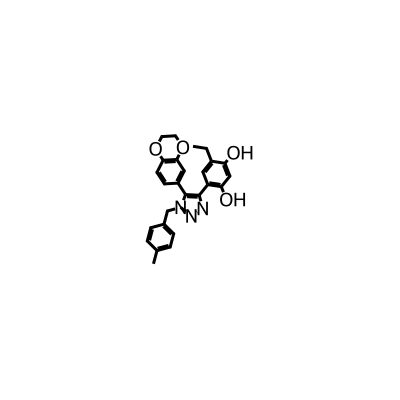 CCc1cc(-c2nnn(Cc3ccc(C)cc3)c2-c2ccc3c(c2)OCCO3)c(O)cc1O